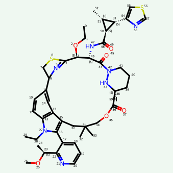 CCO[C@@H]1C2=NC(CS2)c2ccc3c(c2)c(c(-c2cccnc2[C@H](C)OC)n3CC)CC(C)(C)COC(=O)[C@@H]2CCCN(N2)C(=O)[C@H]1NC(=O)[C@H]1[C@H](C)[C@@H]1c1cscn1